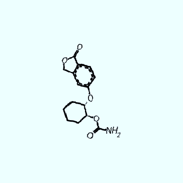 NC(=O)O[C@H]1CCCC[C@@H]1Oc1ccc2c(c1)COC2=O